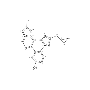 Cc1cn2ccc(-c3nc(C#N)ccc3-c3cnc(CC4CC4)o3)cc2n1